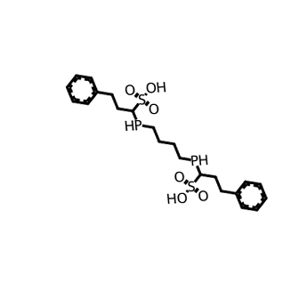 O=S(=O)(O)C(CCc1ccccc1)PCCCCPC(CCc1ccccc1)S(=O)(=O)O